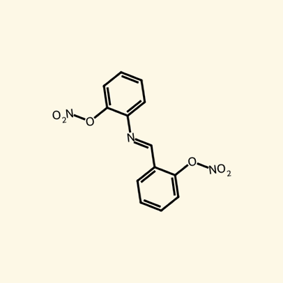 O=[N+]([O-])Oc1ccccc1C=Nc1ccccc1O[N+](=O)[O-]